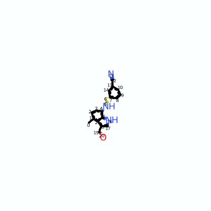 Cc1ccc(NSc2cccc(C#N)c2)c2[nH]cc(C=O)c12